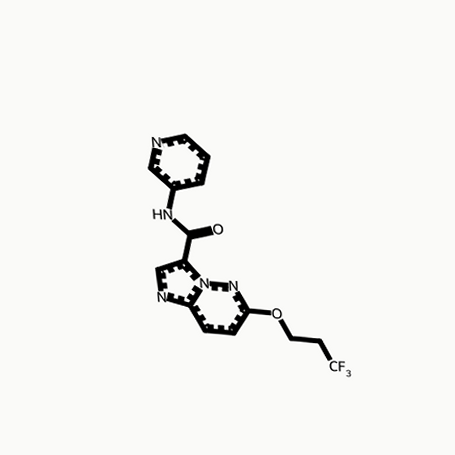 O=C(Nc1cccnc1)c1cnc2ccc(OCCC(F)(F)F)nn12